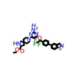 CCOC(=O)C1CC2(CCN(c3cc(O[C@H](c4ccc(-c5ccc6sncc6c5)cc4)C(F)(F)F)nc(N)n3)CC2)CN1